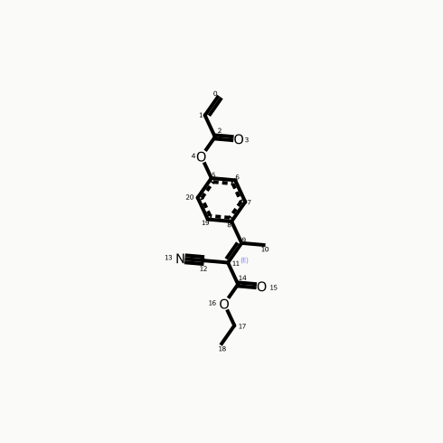 C=CC(=O)Oc1ccc(/C(C)=C(\C#N)C(=O)OCC)cc1